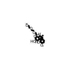 COCCOCCOCC(=O)OC12CC=C(O)[C@@H]3Oc4c(OC)ccc5c4C31CCN(C)[C@@H]2C5